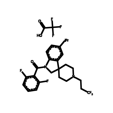 CC(C)c1ccc2c(c1)C1(CCN(CCC(F)(F)F)CC1)CN2C(=O)c1c(F)cccc1F.O=C(O)C(F)(F)F